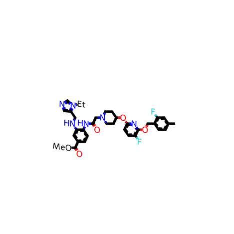 CCn1cncc1CNc1cc(C(=O)OC)ccc1NC(=O)CN1CCC(Oc2ccc(F)c(OCc3ccc(C)cc3F)n2)CC1